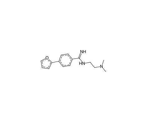 CN(C)CCNC(=N)c1ccc(-c2ccco2)cc1